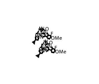 COc1ccc(-c2ccnnc2)c(CNC(=O)c2cn(Cc3cn4cc(C5CC5)ccc4n3)nn2)c1F.COc1ccc(-c2ccnnc2)c(CNC(=O)c2cn(Cc3cn4cc(C5CC5)ccc4n3)nn2)c1F